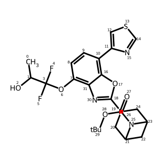 CC(O)C(F)(F)Oc1ccc(-c2cscn2)c2oc(N3CC4CC(C3)N4C(=O)OC(C)(C)C)nc12